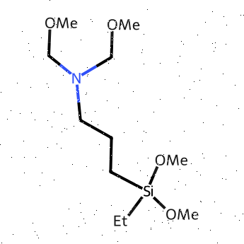 CC[Si](CCCN(COC)COC)(OC)OC